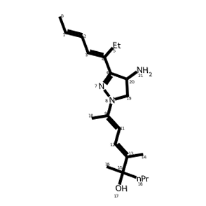 C/C=C/C=C(\CC)C1=NN(/C(C)=C/C=C(\C)C(C)(O)CCC)CC1N